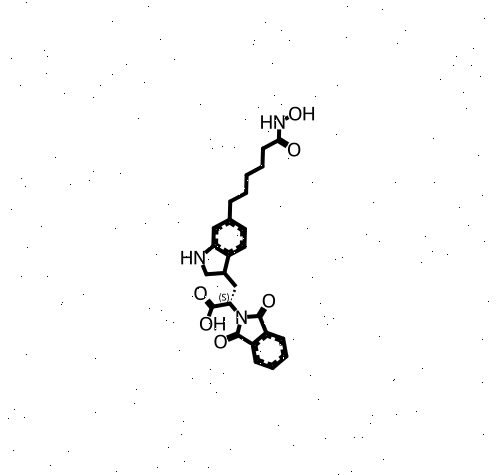 O=C(CCCCCc1ccc2c(c1)NCC2C[C@@H](C(=O)O)N1C(=O)c2ccccc2C1=O)NO